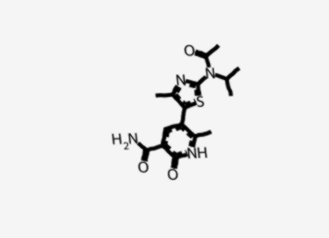 CC(=O)N(c1nc(C)c(-c2cc(C(N)=O)c(=O)[nH]c2C)s1)C(C)C